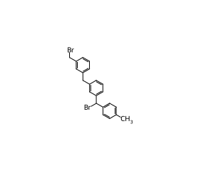 Cc1ccc(C(Br)c2cccc(Cc3cccc(CBr)c3)c2)cc1